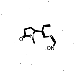 C=C/C(=C\C=C/N=O)C1CCC(=O)N1C